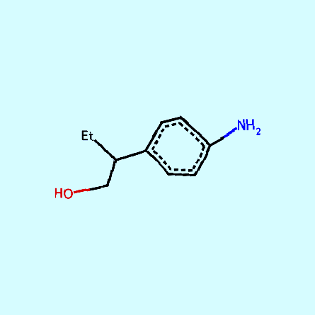 CCC(CO)c1ccc(N)cc1